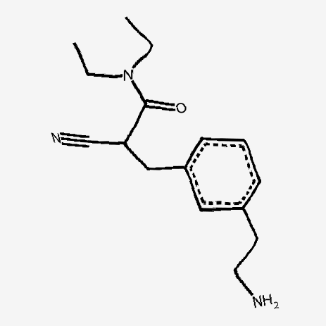 CCN(CC)C(=O)C(C#N)Cc1cccc(CCN)c1